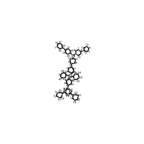 c1ccc(-c2ccc(N(c3ccc(-c4ccccc4)cc3)c3ccc(-c4ccc([Si](c5ccccc5)(c5ccccc5)c5ccc(-c6nc(-c7ccccc7)nc(-c7ccccc7)n6)cc5)cc4)cc3)cc2)cc1